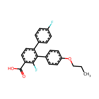 CCCOc1ccc(-c2c(-c3ccc(F)cc3)ccc(C(=O)O)c2F)cc1